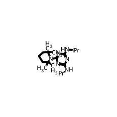 CC(C)Nc1nc(NC(C)C)nc(N2C(C)(C)CCCC2(C)C)n1